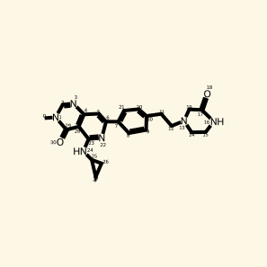 Cn1cnc2cc(-c3ccc(CCN4CCNC(=O)C4)cc3)nc(NC3CC3)c2c1=O